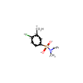 CCCN(C)S(=O)(=O)c1ccc(F)c(C(=O)O)c1